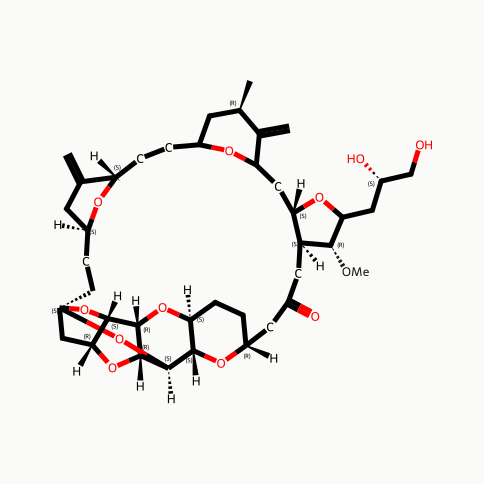 C=C1C2C[C@@H]3OC(C[C@H](O)CO)[C@H](OC)[C@H]3CC(=O)C[C@H]3CC[C@@H]4O[C@@H]5[C@H]6O[C@@H]7C[C@](CC[C@H]8CC(=C)[C@H](CCC(C[C@H]1C)O2)O8)(O[C@H]6[C@H]4O3)O[C@H]57